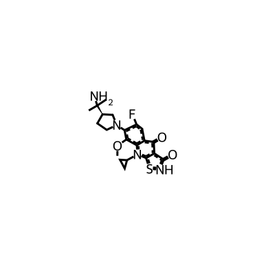 COc1c(N2CC[C@@H](C(C)(C)N)C2)c(F)cc2c(=O)c3c(=O)[nH]sc3n(C3CC3)c12